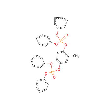 Cc1cc(OP(=O)(Oc2ccccc2)Oc2ccccc2)ccc1OP(=O)(Oc1ccccc1)Oc1ccccc1